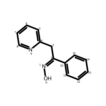 ON=C(Cc1ccccn1)c1ccccc1